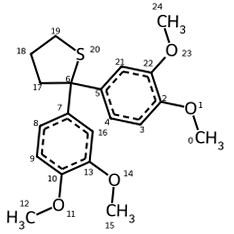 COc1ccc(C2(c3ccc(OC)c(OC)c3)CCCS2)cc1OC